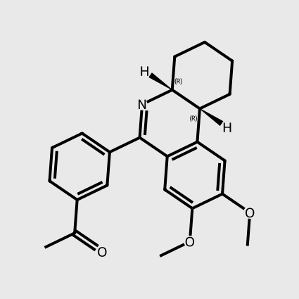 COc1cc2c(cc1OC)[C@H]1CCCC[C@H]1N=C2c1cccc(C(C)=O)c1